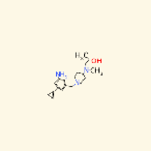 C[C@H](O)CN(C)C1CCN(Cc2cc(N)cc(C3CC3)c2)CC1